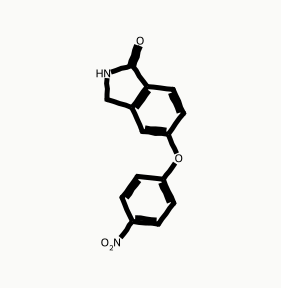 O=C1NCc2cc(Oc3ccc([N+](=O)[O-])cc3)ccc21